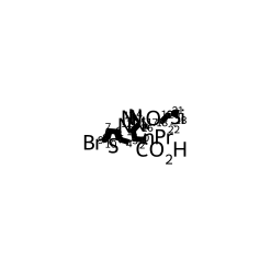 CCC[C@H](C(=O)O)[C@H](Cc1ccc(Br)s1)c1nnnn1COCC[Si](C)(C)C